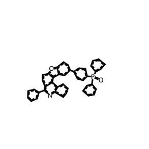 O=P(c1ccccc1)(c1ccccc1)c1ccc(-c2ccc3oc4ccc5c(-c6ccccc6)nc6ccccc6c5c4c3c2)cc1